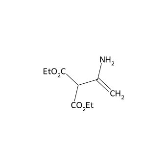 C=C(N)C(C(=O)OCC)C(=O)OCC